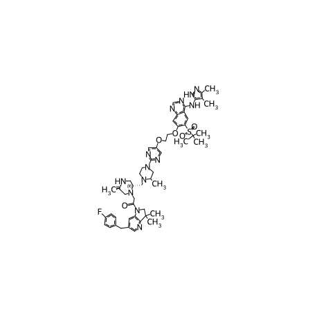 Cc1n[nH]c(Nc2ncnc3cc(OCCOc4cnc(N5CCN(C[C@H]6CN[C@H](C)CN6CC(=O)N6CC(C)(C)c7ncc(Cc8ccc(F)cc8)cc76)C(C)C5)nc4)c(S(=O)(=O)C(C)(C)C)cc23)c1C